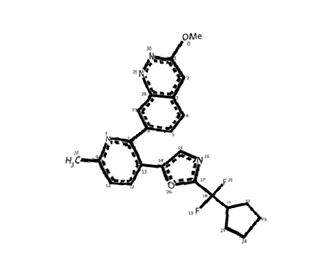 COc1cc2ccc(-c3nc(C)ccc3-c3cnc(C(F)(F)C4CCCC4)o3)cc2nn1